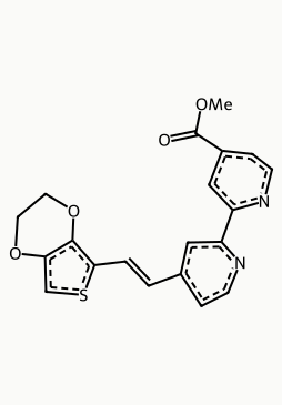 COC(=O)c1ccnc(-c2cc(/C=C/c3scc4c3OCCO4)ccn2)c1